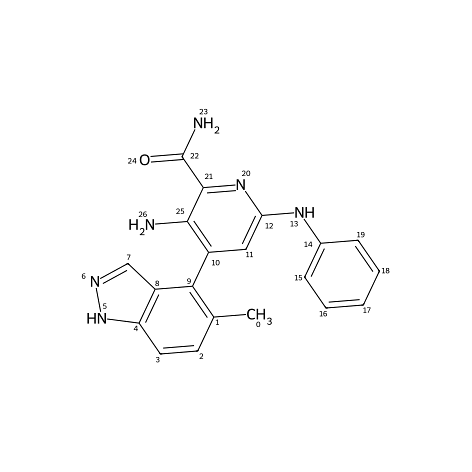 Cc1ccc2[nH]ncc2c1-c1cc(Nc2ccccc2)nc(C(N)=O)c1N